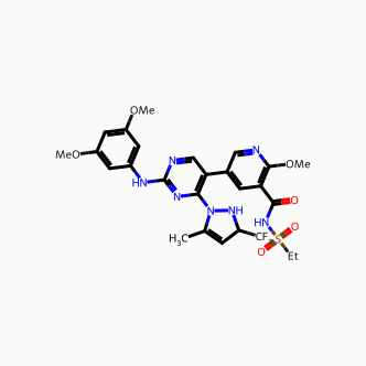 CCS(=O)(=O)NC(=O)c1cc(-c2cnc(Nc3cc(OC)cc(OC)c3)nc2N2NC(C(F)(F)F)C=C2C)cnc1OC